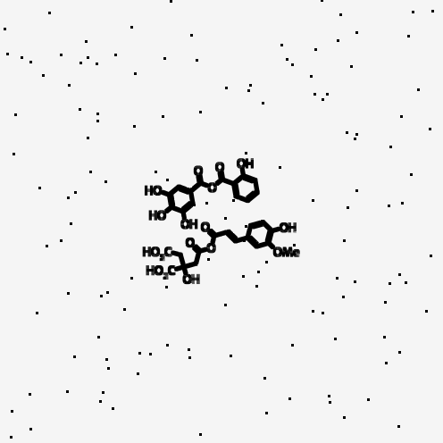 COc1cc(C=CC(=O)OC(=O)CC(O)(CC(=O)O)C(=O)O)ccc1O.O=C(OC(=O)c1ccccc1O)c1cc(O)c(O)c(O)c1